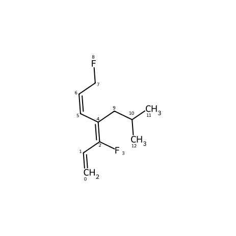 C=C/C(F)=C(\C=C/CF)CC(C)C